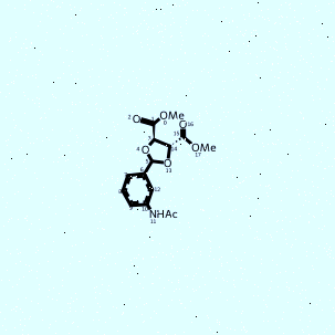 COC(=O)[C@@H]1OC(c2cccc(NC(C)=O)c2)O[C@H]1C(=O)OC